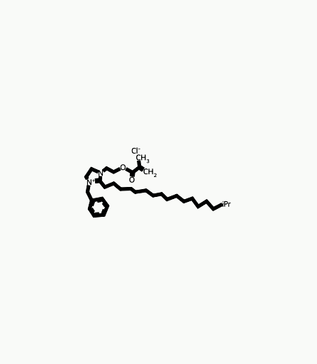 C=C(C)C(=O)OCCN1CC[N+](Cc2ccccc2)=C1CCCCCCCCCCCCCCCC(C)C.[Cl-]